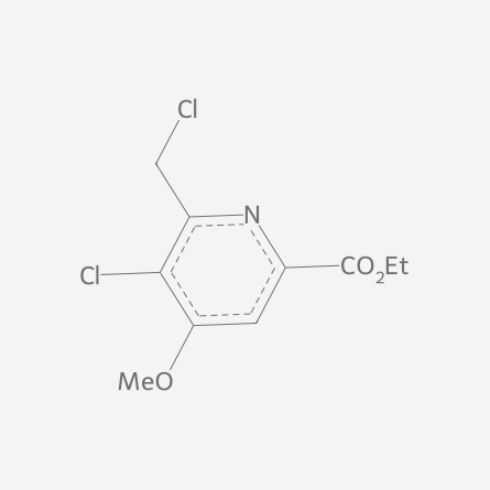 CCOC(=O)c1cc(OC)c(Cl)c(CCl)n1